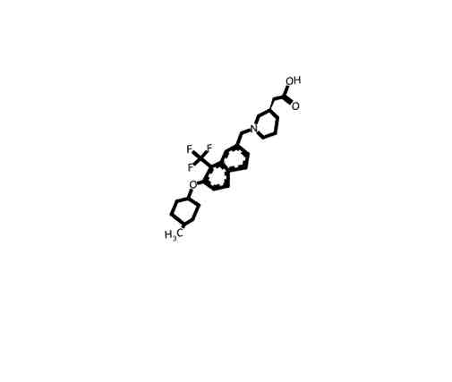 CC1CCC(Oc2ccc3ccc(CN4CCC[C@H](CC(=O)O)C4)cc3c2C(F)(F)F)CC1